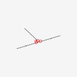 CCCCCCCCC=CCCCCCCCCOCC(COCCCCCCCCC=CCCCCCCCC)OC(=O)CCCCCCCCCCCCCCC